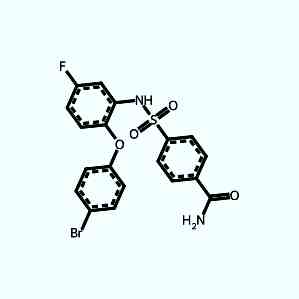 NC(=O)c1ccc(S(=O)(=O)Nc2cc(F)ccc2Oc2ccc(Br)cc2)cc1